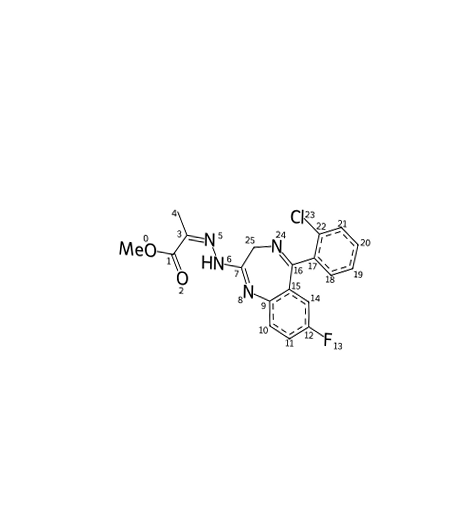 COC(=O)C(C)=NNC1=Nc2ccc(F)cc2C(c2ccccc2Cl)=NC1